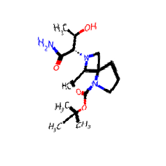 C#CC1N([C@H](C(N)=O)[C@@H](C)O)CC12CCCN2C(=O)OC(C)(C)C